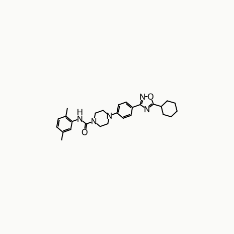 Cc1ccc(C)c(NC(=O)N2CCN(c3ccc(-c4noc(C5CCCCC5)n4)cc3)CC2)c1